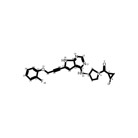 O=C(C1C[C@H]1F)N1CC[C@@H](Nc2ncnc3[nH]c(C#CCOc4ccccc4F)cc23)C1